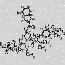 C=CC1CC1(NC(=O)[C@@H]1C[C@@H](OC(=O)N2Cc3cccc(F)c3C2)CN1C(=O)[C@@H](Nc1ccc(C(C)(C)C)cc1)C(C)C)C(=O)NS(=O)(=O)C1CC1